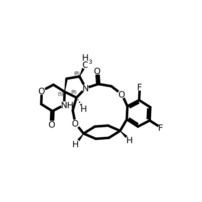 C[C@@H]1C[C@@]2(COCC(=O)N2)[C@@H]2CO[C@H]3CC[C@H](CC3)c3cc(F)cc(F)c3OCC(=O)N12